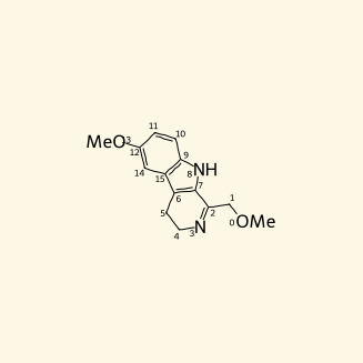 COCC1=NCCc2c1[nH]c1ccc(OC)cc21